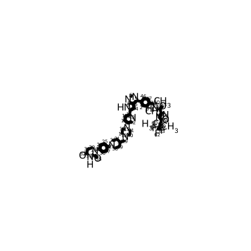 Cc1cc(-c2ncnc3[nH]c(-c4ccc(N5CCN(CC6CCN(c7ccc(N8CCC(=O)NC8=O)cc7)CC6)CC5)cn4)cc23)ccc1C(C)NC(=O)c1noc(C(C)(C)C(F)(F)F)n1